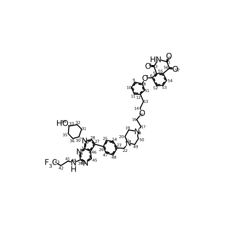 O=C1NC(=O)c2c(Oc3cccc(CCOCCN4CCN(Cc5ccc(-c6cn([C@H]7CC[C@H](O)CC7)c7nc(NCCC(F)(F)F)ncc67)cc5)CC4)c3)cccc2C1=O